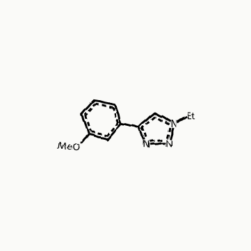 CCn1cc(-c2cccc(OC)c2)nn1